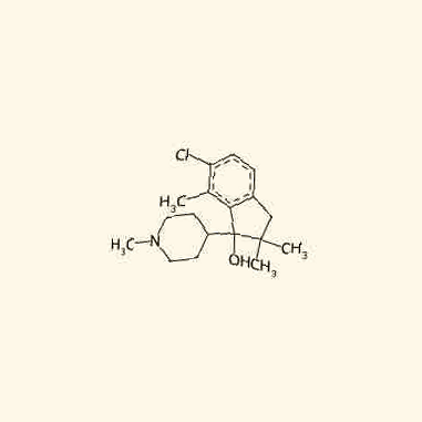 Cc1c(Cl)ccc2c1C(O)(C1CCN(C)CC1)C(C)(C)C2